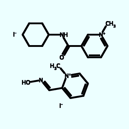 C[n+]1cccc(C(=O)NC2CCCCC2)c1.C[n+]1ccccc1C=NO.[I-].[I-]